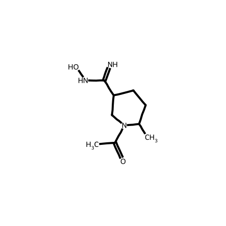 CC(=O)N1CC(C(=N)NO)CCC1C